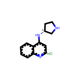 Cl.c1ccc2c(N[C@@H]3CCNC3)ccnc2c1